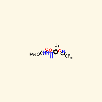 COC1CCC(C(=O)NC(=O)Nc2ccc(Oc3ccc(C(F)(F)F)cn3)c(C)c2)CC1